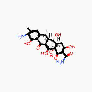 Cc1cc2c(c(O)c1N)C(=O)C1=C(O)[C@]3(O)C(=O)C(C(N)=O)=C(O)C[C@@H]3[C@@H](O)[C@@H]1[C@H]2C